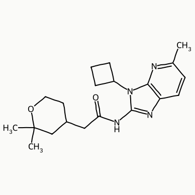 Cc1ccc2nc(NC(=O)CC3CCOC(C)(C)C3)n(C3CCC3)c2n1